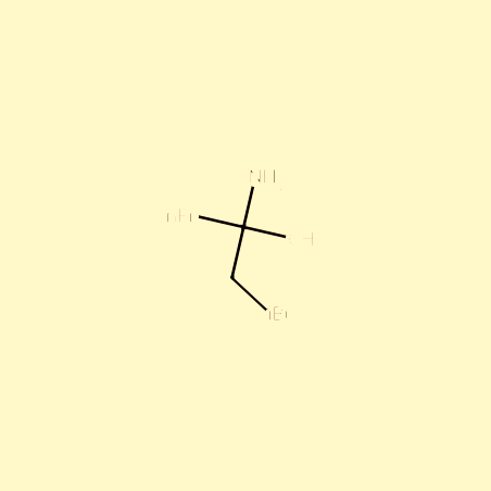 CCCC(C)(N)CC(C)CC